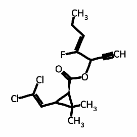 C#CC(OC(=O)[C@@H]1C(C=C(Cl)Cl)C1(C)C)/C(F)=C/CC